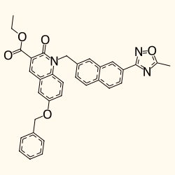 CCOC(=O)c1cc2cc(OCc3ccccc3)ccc2n(Cc2ccc3ccc(-c4noc(C)n4)cc3c2)c1=O